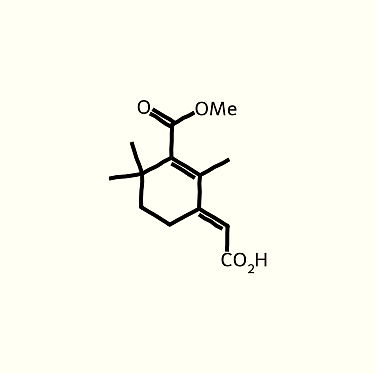 COC(=O)C1=C(C)/C(=C/C(=O)O)CCC1(C)C